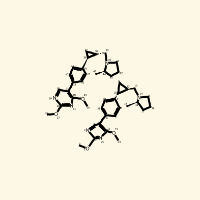 COc1ncc(-c2ccc([C@@H]3C[C@H]3CN3CCC[C@H]3C)cc2)c(OC)n1.COc1ncc(-c2ccc([C@H]3C[C@@H]3CN3CCC[C@H]3C)cc2)c(OC)n1